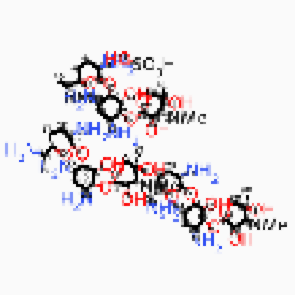 CN[C@@H]1[C@@H](O)[C@@H](O[C@@H]2[C@@H](O)[C@H](O[C@H]3O[C@@H]([C@@H](C)N)CC[C@H]3N)[C@@H](N)C[C@H]2N)OC[C@]1(C)O.CN[C@@H]1[C@@H](O)[C@@H](O[C@@H]2[C@@H](O)[C@H](O[C@H]3O[C@@H]([C@@H](C)NC)CC[C@H]3N)[C@@H](N)C[C@H]2N)OC[C@]1(C)O.CN[C@@H]1[C@@H](O)[C@@H](O[C@@H]2[C@@H](O)[C@H](O[C@H]3O[C@H](CN)CC[C@H]3N)[C@@H](N)C[C@H]2N)OC[C@]1(C)O.O=S(=O)(O)O